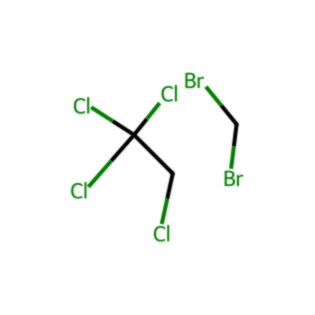 BrCBr.ClCC(Cl)(Cl)Cl